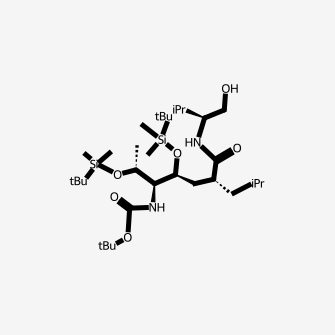 CC(C)C[C@H](C[C@H](O[Si](C)(C)C(C)(C)C)[C@@H](NC(=O)OC(C)(C)C)[C@@H](C)O[Si](C)(C)C(C)(C)C)C(=O)N[C@H](CO)C(C)C